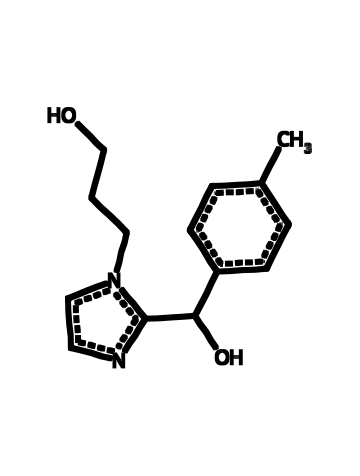 Cc1ccc(C(O)c2nccn2CCCO)cc1